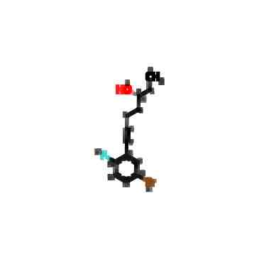 C=C[C@@H](O)CCC#Cc1cc(Br)ccc1F